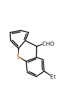 CCc1ccc2c(c1)C(C=O)c1ccccc1S2